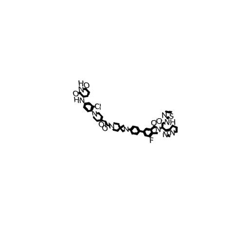 O=C1CC[C@H](Nc2ccc(N3CCC(O)(CC(=O)N4CCC5(CC4)CN(c4ccc(-c6cc(F)c7c(c6)C(=O)N(C(C(=O)Nc6nccs6)c6ncn8c6CCC8)C7)cc4)C5)CC3)c(Cl)c2)C(=O)N1